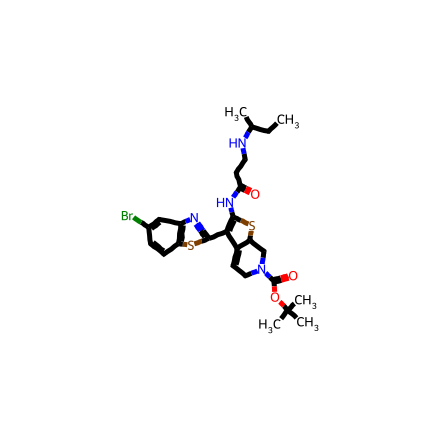 CCC(C)NCCC(=O)NC1=C(c2nc3cc(Br)ccc3s2)C2=CCN(C(=O)OC(C)(C)C)CC2S1